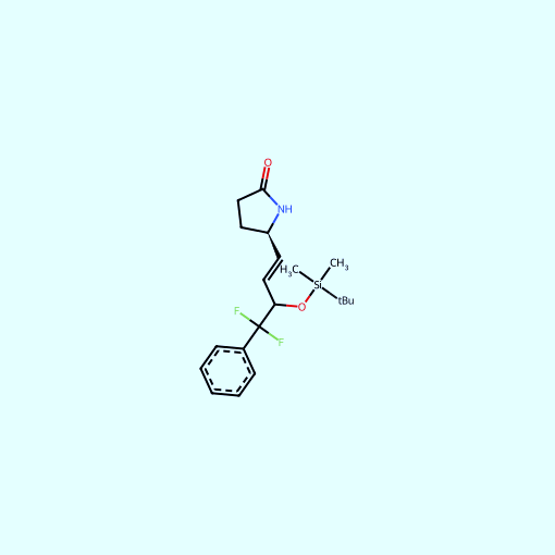 CC(C)(C)[Si](C)(C)OC(C=C[C@H]1CCC(=O)N1)C(F)(F)c1ccccc1